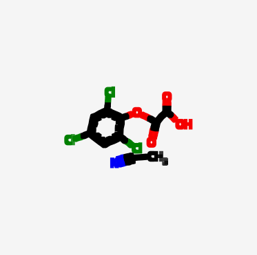 CC#N.O=C(O)C(=O)Oc1c(Cl)cc(Cl)cc1Cl